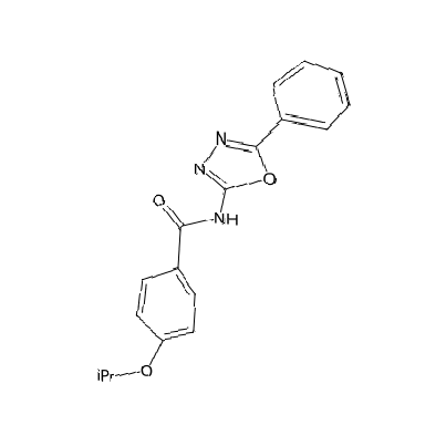 CC(C)Oc1ccc(C(=O)Nc2nnc(-c3ccccc3)o2)cc1